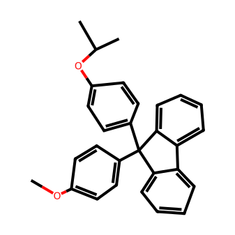 COc1ccc(C2(c3ccc(OC(C)C)cc3)c3ccccc3-c3ccccc32)cc1